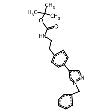 CC(C)(C)OC(=O)NCCc1ccc(-c2cnn(Cc3ccccc3)c2)cc1